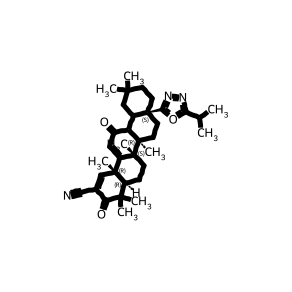 CC(C)c1nnc([C@]23CCC(C)(C)CC2C2C(=O)C=C4[C@@]5(C)C=C(C#N)C(=O)C(C)(C)[C@@H]5CC[C@@]4(C)[C@]2(C)CC3)o1